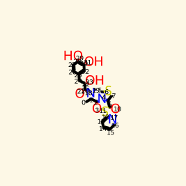 CC(C(=O)N1CSCC1C(=O)Sc1ccccn1)N(C)C(=O)C(O)Cc1ccc(O)c(O)c1